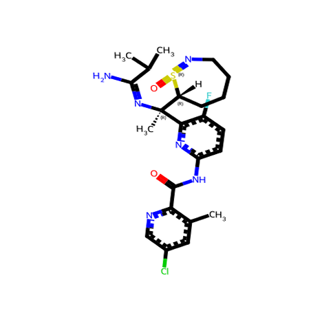 Cc1cc(Cl)cnc1C(=O)Nc1ccc(F)c([C@@]2(C)N=C(N)C(C)(C)[S@@]3(=O)=NCCCC[C@H]23)n1